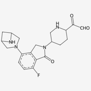 O=CC(=O)C1CCC(N2Cc3c(N4CC5CC(C4)N5)ccc(F)c3C2=O)CN1